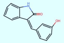 O=C1Nc2ccccc2C1=Cc1cccc(O)c1